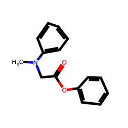 CN(CC(=O)Oc1ccccc1)c1ccccc1